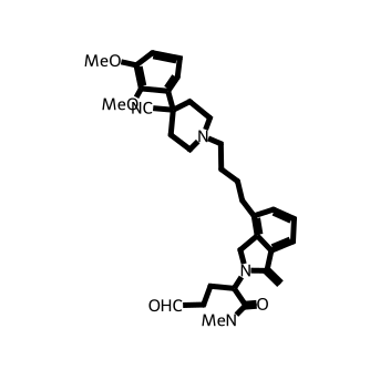 C=C1c2cccc(CCCCN3CCC(C#N)(c4cccc(OC)c4OC)CC3)c2CN1C(CCC=O)C(=O)NC